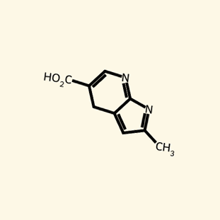 CC1=NC2=NC=C(C(=O)O)CC2=C1